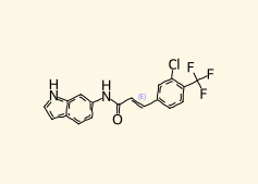 O=C(/C=C/c1ccc(C(F)(F)F)c(Cl)c1)Nc1ccc2cc[nH]c2c1